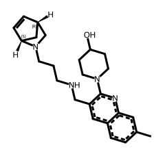 Cc1ccc2cc(CNCCCN3C[C@H]4C=C[C@@H]3C4)c(N3CCC(O)CC3)nc2c1